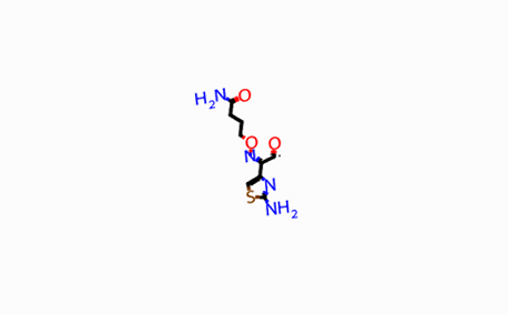 NC(=O)CCCON=C([C]=O)c1csc(N)n1